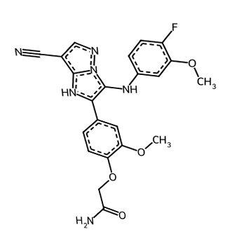 COc1cc(Nc2c(-c3ccc(OCC(N)=O)c(OC)c3)[nH]c3c(C#N)cnn23)ccc1F